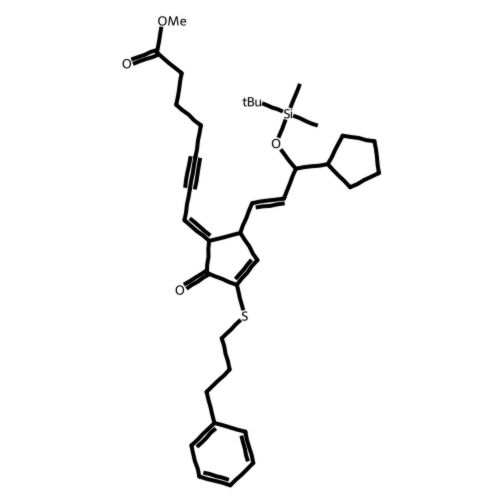 COC(=O)CCCC#CC=C1C(=O)C(SCCCc2ccccc2)=CC1C=CC(O[Si](C)(C)C(C)(C)C)C1CCCC1